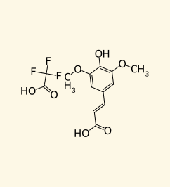 COc1cc(C=CC(=O)O)cc(OC)c1O.O=C(O)C(F)(F)F